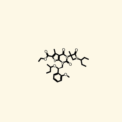 CCOC(=O)c1sc2c(c1C)c(=O)n(C1(C)CN(C(CC)CC)C1=O)c(=O)n2C[C@H](OC(C)CC)c1ccccc1OC